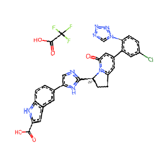 O=C(O)C(F)(F)F.O=C(O)c1cc2cc(-c3cnc([C@@H]4CCc5cc(-c6cc(Cl)ccc6-n6cnnn6)cc(=O)n54)[nH]3)ccc2[nH]1